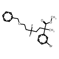 COC(=O)C(C)(CCC(F)(F)CCOCc1ccccc1)c1cccc(Br)c1